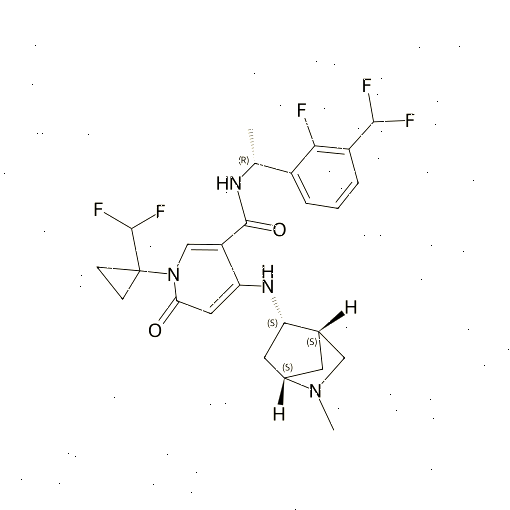 C[C@@H](NC(=O)c1cn(C2(C(F)F)CC2)c(=O)cc1N[C@H]1C[C@@H]2C[C@H]1CN2C)c1cccc(C(F)F)c1F